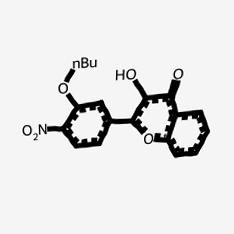 CCCCOc1cc(-c2oc3ccccc3c(=O)c2O)ccc1[N+](=O)[O-]